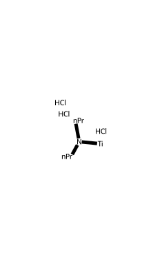 CCC[N]([Ti])CCC.Cl.Cl.Cl